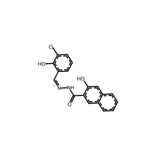 O=C(N/N=C\c1cccc(Cl)c1O)c1cc2ccccc2cc1O